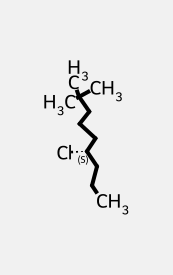 CCC[C@H](Cl)CCCC(C)(C)C